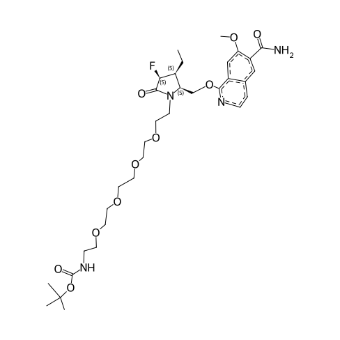 CC[C@@H]1[C@H](F)C(=O)N(CCOCCOCCOCCOCCNC(=O)OC(C)(C)C)[C@@H]1COc1nccc2cc(C(N)=O)c(OC)cc12